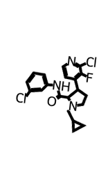 O=C(Nc1cccc(Cl)c1)C1C(c2ccnc(Cl)c2F)CCN1CC1CC1